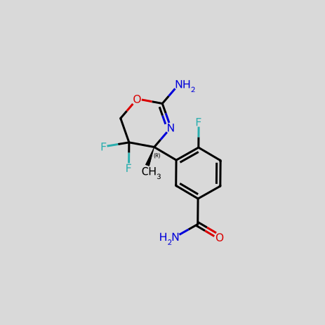 C[C@]1(c2cc(C(N)=O)ccc2F)N=C(N)OCC1(F)F